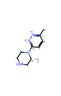 Cc1ccc(N2CCNC[C@H]2C)nn1